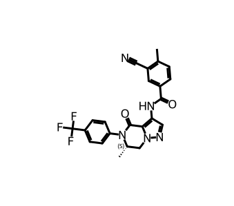 Cc1ccc(C(=O)Nc2cnn3c2C(=O)N(c2ccc(C(F)(F)F)cc2)[C@@H](C)C3)cc1C#N